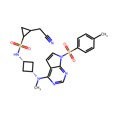 Cc1ccc(S(=O)(=O)n2ccc3c(N(C)[C@H]4C[C@@H](NS(=O)(=O)C5CC5CC#N)C4)ncnc32)cc1